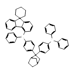 c1ccc(N(c2ccccc2)c2ccc(C3(c4ccc(N(c5ccccc5)c5cccc6c5-c5ccccc5C65CCCCC5)cc4)CC4CCC3C4)cc2)cc1